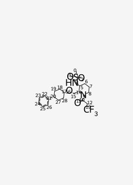 CS(=O)(=O)N[C@H]1CCCN(C(=O)CC(F)(F)F)[C@H]1CO[C@H]1CC[C@@H](c2ccccc2)CC1